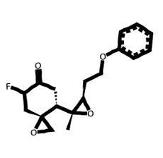 C[C@]1([C@H]2CC(=O)C(F)C[C@]23CO3)O[C@@H]1CCOc1ccccc1